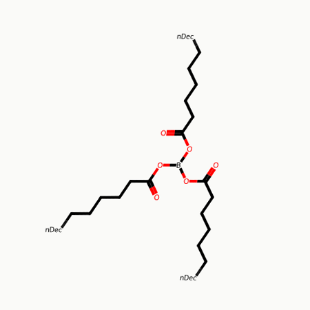 CCCCCCCCCCCCCCCC(=O)OB(OC(=O)CCCCCCCCCCCCCCC)OC(=O)CCCCCCCCCCCCCCC